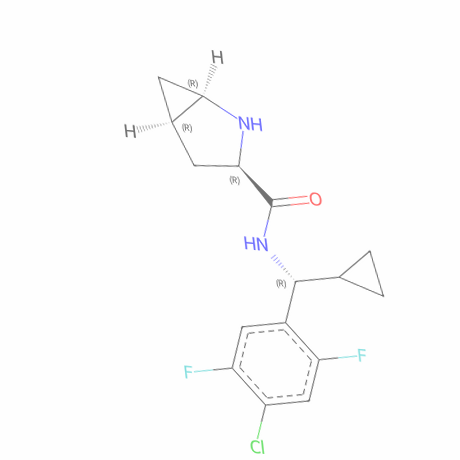 O=C(N[C@@H](c1cc(F)c(Cl)cc1F)C1CC1)[C@H]1C[C@H]2C[C@H]2N1